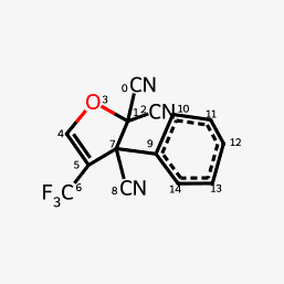 N#CC1(C#N)OC=C(C(F)(F)F)C1(C#N)c1ccccc1